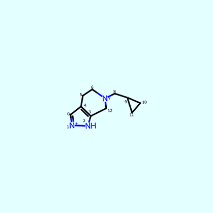 C1=[N+]NC2=C1CCN(CC1CC1)C2